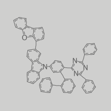 c1ccc(-c2nc(-c3ccccc3)nc(-c3ccc(-n4c5ccccc5c5ccc(-c6cccc7c6oc6ccccc67)cc54)cc3-c3ccccc3-c3ccccc3)n2)cc1